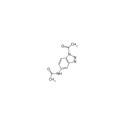 CC(=O)Nc1ccc2c(c1)nnn2C(C)=O